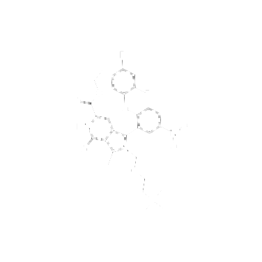 CCOC(=O)c1cc2c(-c3cc([N+](=O)[O-])ccc3Oc3ccc(F)cc3F)n(COCC[Si](C)(C)C)c(C)c2c(=O)[nH]1